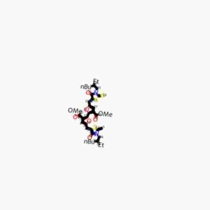 C=c1s/c(=C\c2cc(C(=O)OC)c(-c3oc(/C=C4\SC(=S)N(CC(CC)CCCC)C4=O)cc3C(=O)OC)o2)c(=O)n1CC(CC)CCCC